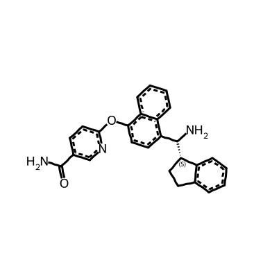 NC(=O)c1ccc(Oc2ccc(C(N)[C@H]3CCc4ccccc43)c3ccccc23)nc1